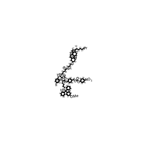 COc1ccc(C(NCCCC[C@H](NC(=O)[C@H](Cc2ccc(F)cc2)NC(=O)CCC(=O)NCCCO[C@H]2CC[C@@]3(C)C(=CC[C@H]4[C@@H]5CC[C@H]([C@H](C)CCCC(C)C)[C@@]5(C)CC[C@@H]43)C2)C(=O)Nc2ccc(COC(=O)Oc3ccc([N+](=O)[O-])cc3)cc2)(c2ccccc2)c2ccccc2)cc1